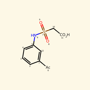 CC(=O)c1cccc(NS(=O)(=O)CC(=O)O)c1